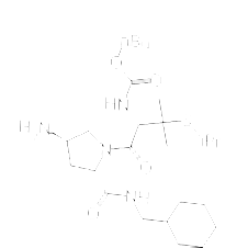 CCCCOC(=O)N[C@@H](C(=O)N1C[C@H](N)C[C@H]1C(=O)NCC1CCCCC1)C(C)(C)SC(C)C